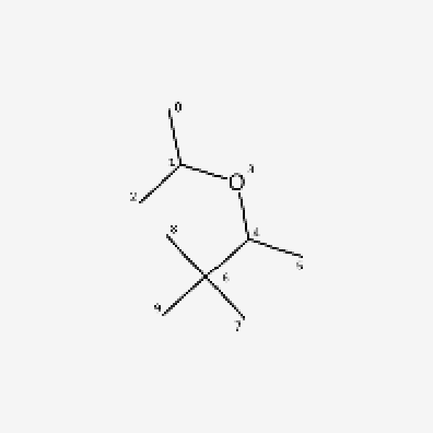 CC(C)OC(C)C(C)(C)C